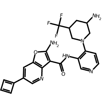 Nc1oc2cc(C3=CC=C3)cnc2c1C(=O)Nc1cnccc1N1CC(N)CC(C(F)(F)F)C1